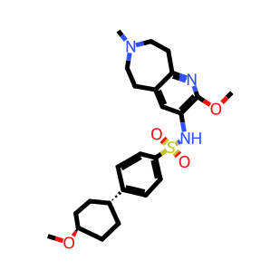 COc1nc2c(cc1NS(=O)(=O)c1ccc([C@H]3CC[C@H](OC)CC3)cc1)CCN(C)CC2